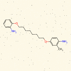 Cc1cc(OCCCCCCCCOc2ccccc2N)ccc1N